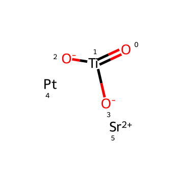 [O]=[Ti]([O-])[O-].[Pt].[Sr+2]